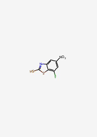 O=[N+]([O-])c1cc(F)c2sc(S)nc2c1